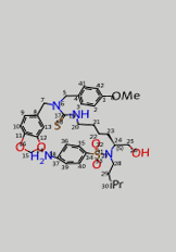 COc1ccc(CN(Cc2ccc3c(c2)OCO3)C(=S)NCCCC[C@@H](CO)N(CCC(C)C)S(=O)(=O)c2ccc(N)cc2)cc1